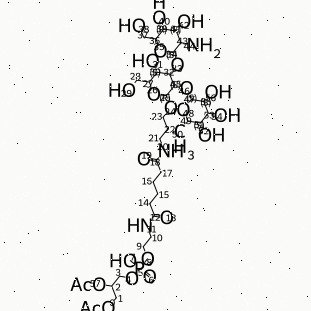 CC(=O)OCC(COP(=O)(O)OCCNC(=O)CCCCC(=O)NCCCO[C@@H]1OC(CO)[C@H](O)C(O[C@@H]2OC(CO)[C@H](O)[C@H](O)C2N)[C@@H]1O[C@@H]1OC(C)[C@@H](O)C(O)[C@@H]1O)OC(C)=O